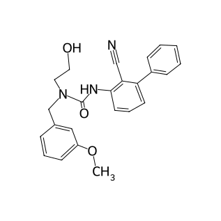 COc1cccc(CN(CCO)C(=O)Nc2cccc(-c3ccccc3)c2C#N)c1